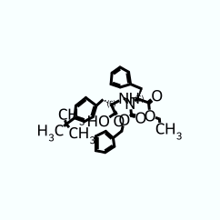 CCOC(=O)[C@H](Cc1ccccc1)N(N[C@@H](Cc1ccc(C(C)(C)C)cc1)C(=O)O)C(=O)OCc1ccccc1